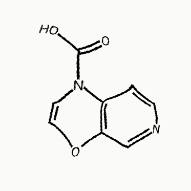 O=C(O)N1C=COc2cnccc21